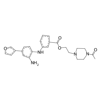 CC(=O)N1CCN(CCOC(=O)c2cccc(Nc3ccc(-c4ccoc4)cc3N)c2)CC1